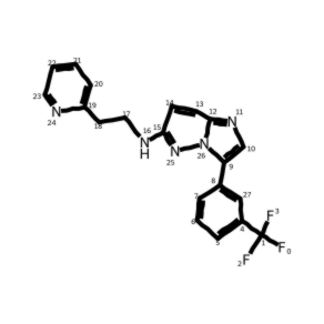 FC(F)(F)c1cccc(-c2cnc3ccc(NCCc4ccccn4)nn23)c1